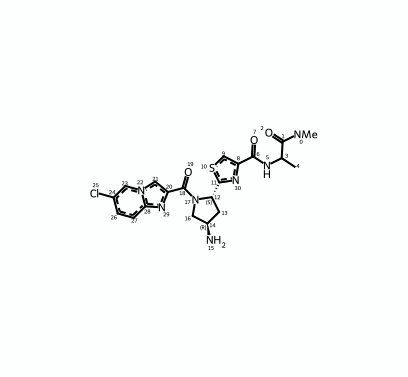 CNC(=O)C(C)NC(=O)c1csc([C@@H]2C[C@@H](N)CN2C(=O)c2cn3cc(Cl)ccc3n2)n1